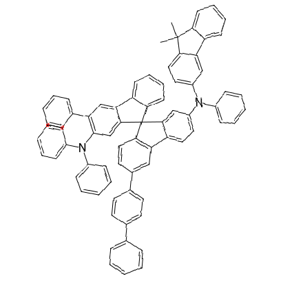 CC1(C)c2ccccc2-c2cc(N(c3ccccc3)c3ccc4c(c3)C3(c5ccccc5-c5cc(-c6ccccc6)c(N(c6ccccc6)c6ccccc6)cc53)c3ccc(-c5ccc(-c6ccccc6)cc5)cc3-4)ccc21